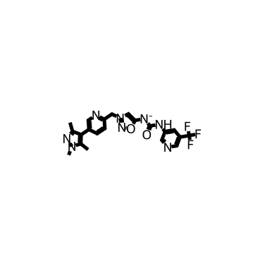 Cc1nn(C)c(C)c1-c1ccc(C[n+]2cc([N-]C(=O)Nc3cncc(C(F)(F)F)c3)on2)nc1